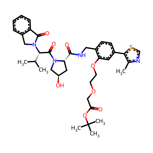 Cc1ncsc1-c1ccc(CNC(=O)[C@@H]2C[C@@H](O)CN2C(=O)[C@H](C(C)C)N2Cc3ccccc3C2=O)c(OCCOCC(=O)OC(C)(C)C)c1